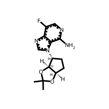 CC1(C)O[C@H]2[C@H](n3cnc4c(F)cnc(N)c43)CC[C@H]2O1